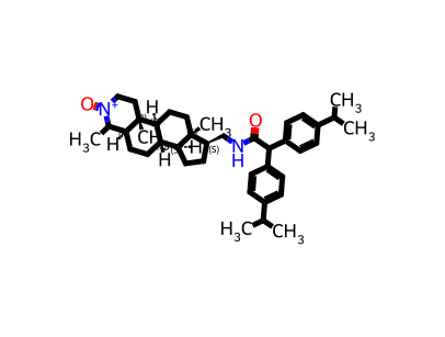 CC(C)c1ccc(C(C(=O)NC[C@H]2CC[C@H]3[C@@H]4CC[C@H]5C(C)[N+](=O)CC[C@]5(C)[C@H]4CC[C@]23C)c2ccc(C(C)C)cc2)cc1